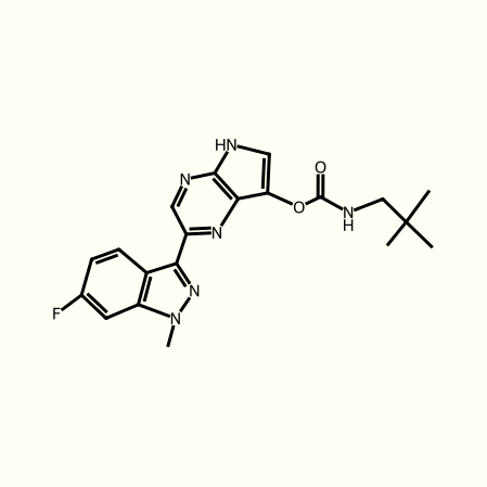 Cn1nc(-c2cnc3[nH]cc(OC(=O)NCC(C)(C)C)c3n2)c2ccc(F)cc21